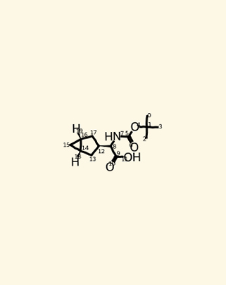 CC(C)(C)OC(=O)NC(C(=O)O)[C@H]1C[C@@H]2C[C@@H]2C1